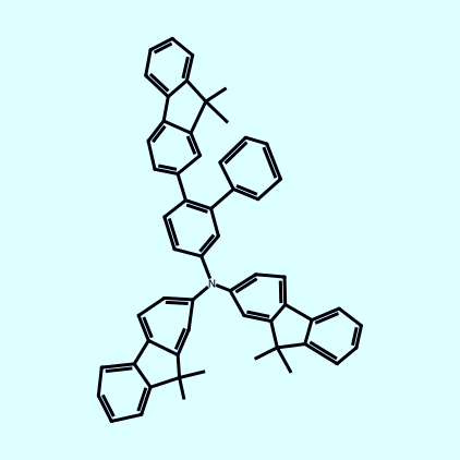 CC1(C)c2ccccc2-c2ccc(-c3ccc(N(c4ccc5c(c4)C(C)(C)c4ccccc4-5)c4ccc5c(c4)C(C)(C)c4ccccc4-5)cc3-c3ccccc3)cc21